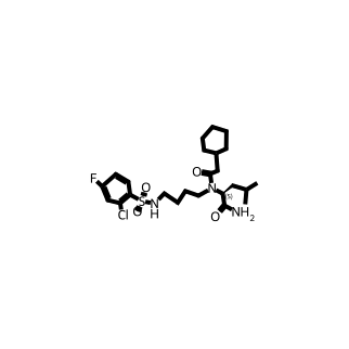 CC(C)C[C@@H](C(N)=O)N(CCCCNS(=O)(=O)c1ccc(F)cc1Cl)C(=O)CC1CCCCC1